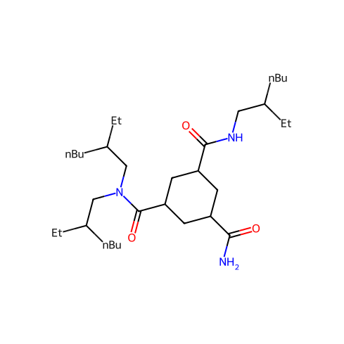 CCCCC(CC)CNC(=O)C1CC(C(N)=O)CC(C(=O)N(CC(CC)CCCC)CC(CC)CCCC)C1